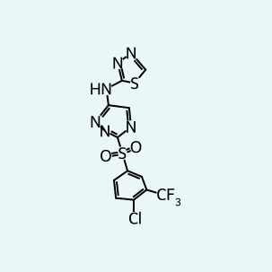 O=S(=O)(c1ccc(Cl)c(C(F)(F)F)c1)c1ncc(Nc2nncs2)nn1